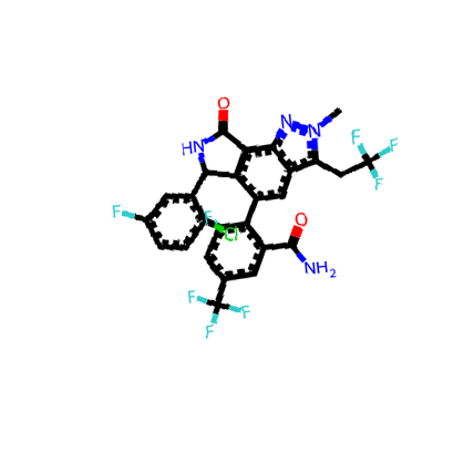 Cn1nc2c3c(c(-c4c(F)cc(C(F)(F)F)cc4C(N)=O)cc2c1CC(F)(F)F)C(c1cc(F)ccc1Cl)NC3=O